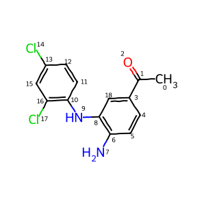 CC(=O)c1ccc(N)c(Nc2ccc(Cl)cc2Cl)c1